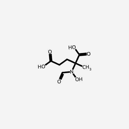 CC(CCC(=O)O)(C(=O)O)N(O)C=O